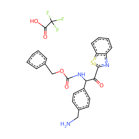 NCc1ccc(C(NC(=O)OCc2ccccc2)C(=O)c2nc3ccccc3s2)cc1.O=C(O)C(F)(F)F